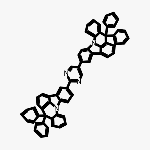 c1ccc(C2(c3ccccc3)c3ccccc3-n3c4ccc(-c5cnc(-c6ccc7c(c6)c6cccc8c6n7-c6ccccc6C8(c6ccccc6)c6ccccc6)nc5)cc4c4cccc2c43)cc1